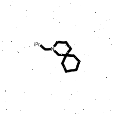 CC(C)CN1CCCC2(CCCCC2)C1